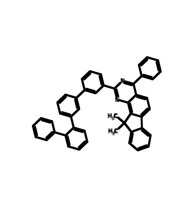 CC1(C)c2ccccc2-c2ccc3c(-c4ccccc4)nc(-c4cccc(-c5cccc(-c6ccccc6-c6ccccc6)c5)c4)nc3c21